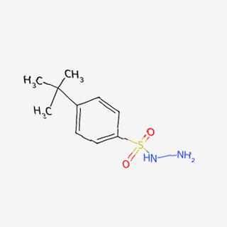 CC(C)(C)c1ccc(S(=O)(=O)NN)cc1